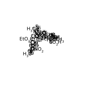 CCOC(=O)C(Cl)Cc1cc(-n2nc(C)n(C(F)F)c2=O)c(F)cc1Cl.CCc1cccc(C)c1N(C(=O)CCl)C(C)COC.CS(=O)(=O)c1ccc(C(=O)C2C(=O)CCCC2=O)c([N+](=O)[O-])c1.C[S+](C)C.O=C(O)CNCP(=O)([O-])O